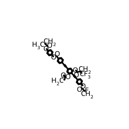 C=CC(=O)Oc1cc(C#Cc2ccc(C(=O)Oc3ccc(OC(=O)C(=C)C)cc3)cc2)cc(OC(=O)C(=C)C(F)(F)F)c1C#Cc1ccc(OC(=O)C(=C)F)cc1